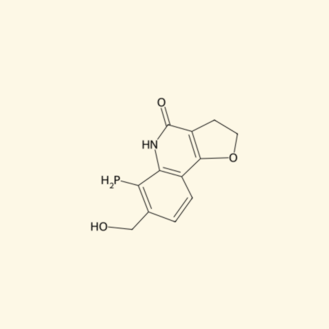 O=c1[nH]c2c(P)c(CO)ccc2c2c1CCO2